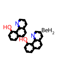 Oc1cccc2ccc3cccnc3c12.Oc1cccc2ccc3cccnc3c12.[BeH2]